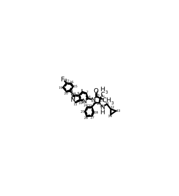 CC1(C)C(=O)N(c2ccc3c(cnn3-c3ccc(F)cc3)n2)C(c2ccccc2)[C@H]1NCC1CC1